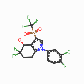 O=S(=O)(c1cn(-c2ccc(F)c(Cl)c2)c2c1C(O)C(F)(F)CC2)C(F)(F)F